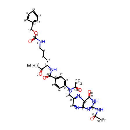 COC(=O)[C@H](CCCCNC(=O)OCc1ccccc1)NC(=O)c1ccc(N(Cc2cnc3nc(NC(=O)C(C)C)[nH]c(=O)c3n2)C(=O)C(F)(F)F)cc1